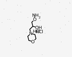 Cl.Cl.NOCC(O)CN1CCOCC1